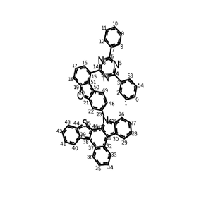 c1ccc(-c2nc(-c3ccccc3)nc(-c3cccc4oc5cc(-n6c7ccccc7c7c8ccccc8c8c9ccccc9sc8c76)ccc5c34)n2)cc1